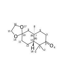 CC1(C)C(=O)CC[C@]2(C)CC3(CC[C@@H]12)OCCO3